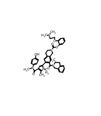 Cc1c(C(=O)N(C)c2ccc(O)cc2)cc(-c2cc3c(cc2C(=O)N2Cc4ccccc4C[C@H]2C)CN(C(=O)Oc2ccccc2OCCN(C)C)CC3)n1C